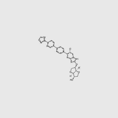 O[C@@H]1CO[C@H]2[C@@H]1OC[C@H]2Oc1nc2nc(-c3ccc(-c4ccc(-n5nccn5)nc4)cc3)c(Cl)cc2[nH]1